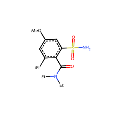 CCN(CC)C(=O)c1c(C(C)C)cc(OC)cc1S(N)(=O)=O